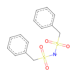 O=S(=O)(Cc1ccccc1)[N]S(=O)(=O)Cc1ccccc1